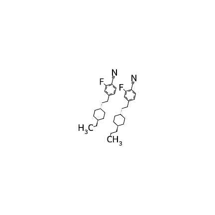 CCC[C@H]1CC[C@H](CCc2ccc(C#N)c(F)c2)CC1.CC[C@H]1CC[C@H](CCc2ccc(C#N)c(F)c2)CC1